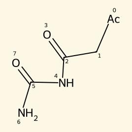 CC(=O)CC(=O)NC(N)=O